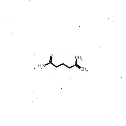 C=C(C)CCCC(N)=O